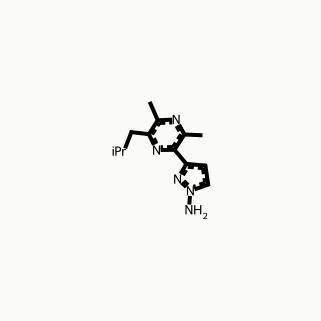 Cc1nc(C)c(-c2ccn(N)n2)nc1CC(C)C